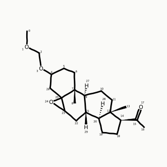 COCOC1CC[C@]2(C)[C@H]3CC[C@]4(C)[C@@H](C(C)=O)CC[C@H]4[C@@H]3CC3OC32C1